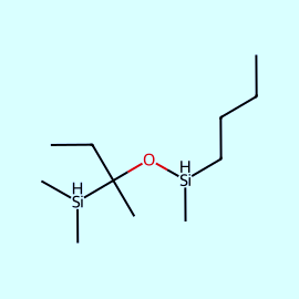 CCCC[SiH](C)OC(C)(CC)[SiH](C)C